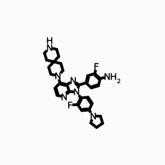 Nc1ccc(-c2nc3c(N4CCC5(CCNCC5)CC4)ccnc3n2-c2ccc(N3CCCC3)cc2F)cc1F